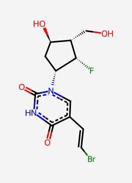 O=c1[nH]c(=O)n([C@@H]2C[C@@H](O)[C@H](CO)[C@@H]2F)cc1/C=C/Br